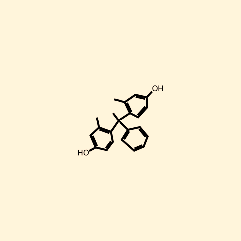 Cc1cc(O)ccc1C(C)(c1ccccc1)c1ccc(O)cc1C